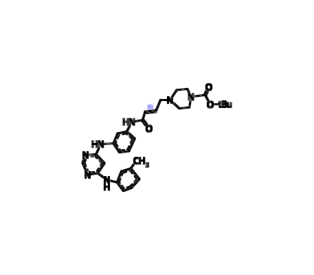 Cc1cccc(Nc2cc(Nc3cccc(NC(=O)/C=C/CN4CCN(C(=O)OC(C)(C)C)CC4)c3)ncn2)c1